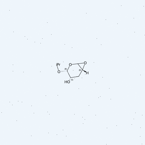 CC(C)O[C@@H]1OC2O[C@@H]2C[C@@H]1O